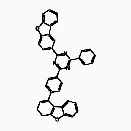 C1=C(c2ccc(-c3nc(-c4ccccc4)nc(-c4ccc5oc6ccccc6c5c4)n3)cc2)c2c(oc3ccccc23)CC1